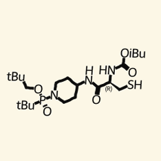 CC(C)COC(=O)N[C@@H](CS)C(=O)NC1CCN(P(=O)(OCC(C)(C)C)C(C)(C)C)CC1